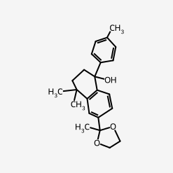 Cc1ccc(C2(O)CCC(C)(C)c3cc(C4(C)OCCO4)ccc32)cc1